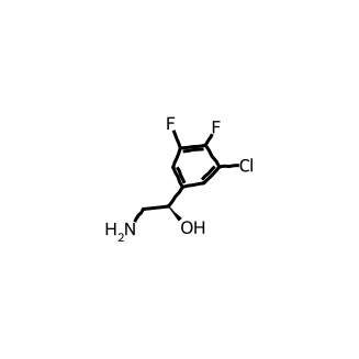 NC[C@H](O)c1cc(F)c(F)c(Cl)c1